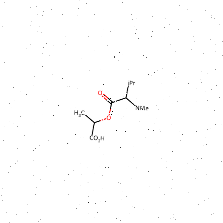 CNC(C(=O)OC(C)C(=O)O)C(C)C